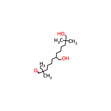 CC(C)(C=O)CCCCC(CO)CCCCC(C)(C)CO